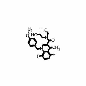 C=C1C(C(=O)N(CC)CCO)=CN(Cc2ccc(OC)cc2)c2c(F)ccc(F)c21